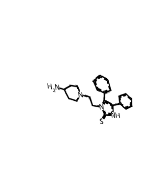 NC1CCN(CCn2c(-c3ccccc3)c(-c3ccccc3)[nH]c2=S)CC1